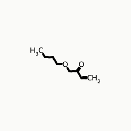 C=CC(=O)COCCCC